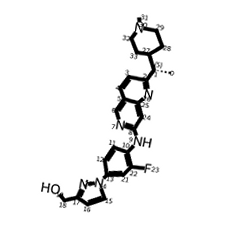 C[C@H](c1ccc2cnc(Nc3ccc(-n4ccc(CO)n4)cc3F)cc2n1)C1CCN(C)CC1